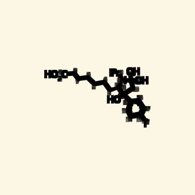 CC(C)N1[C@H](CCCCCCC(=O)O)[C@](O)(c2ccc(F)cc2)CC1(O)O